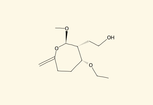 C=C1CC[C@@H](OCC)[C@@H](CCO)[C@H](OC)O1